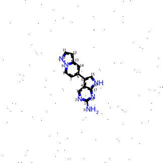 Nc1ncc2c(-c3ccn4nccc4c3)c[nH]c2n1